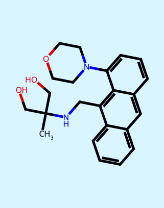 CC(CO)(CO)NCc1c2ccccc2cc2cccc(N3CCOCC3)c12